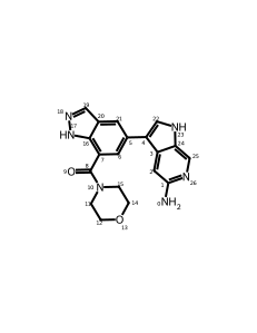 Nc1cc2c(-c3cc(C(=O)N4CCOCC4)c4[nH]ncc4c3)c[nH]c2cn1